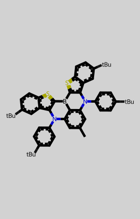 Cc1cc2c3c(c1)N(c1ccc(C(C)(C)C)cc1)c1c(sc4ccc(C(C)(C)C)cc14)B3c1sc3ccc(C(C)(C)C)cc3c1N2c1ccc(C(C)(C)C)cc1